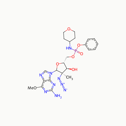 COc1nc(N)nc2c1ncn2C1O[C@H](COP(=O)(NC2CCOCC2)Oc2ccccc2)[C@@H](O)[C@@]1(C)N=[N+]=[N-]